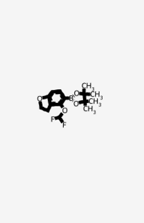 CC1(C)OB(c2ccc3c(c2OC(F)F)CCO3)OC1(C)C